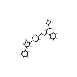 O=C(NC(CCN1CCC(c2nc(-c3ccccc3)no2)CC1)c1ccccc1)C1CCC1